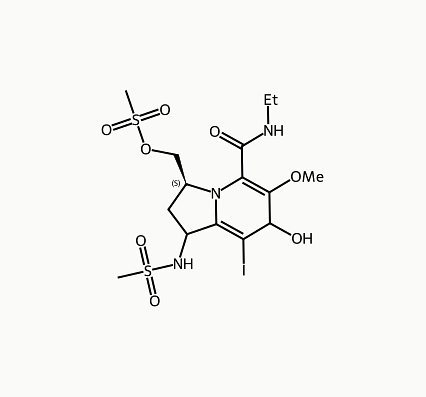 CCNC(=O)C1=C(OC)C(O)C(I)=C2C(NS(C)(=O)=O)C[C@@H](COS(C)(=O)=O)N12